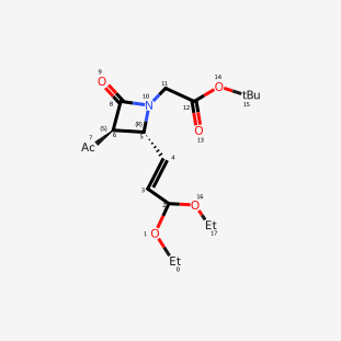 CCOC(C=C[C@@H]1[C@@H](C(C)=O)C(=O)N1CC(=O)OC(C)(C)C)OCC